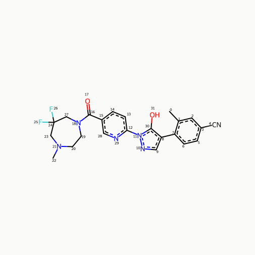 Cc1cc(C#N)ccc1-c1cnn(-c2ccc(C(=O)N3CCN(C)CC(F)(F)C3)cn2)c1O